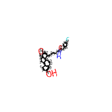 C[C@]12CCC3c4ccc(O)cc4CCC3C1C(CCCCNC(=O)Cc1ccc(F)cc1)CC2=O